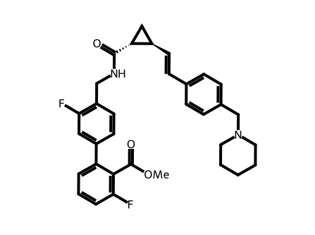 COC(=O)c1c(F)cccc1-c1ccc(CNC(=O)[C@@H]2C[C@H]2C=Cc2ccc(CN3CCCCC3)cc2)c(F)c1